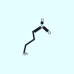 [CH2]CCCCC=S(=O)=O